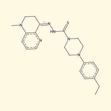 CCc1ccc(N2CCN(C(=S)N/N=C3/CCN(C)c4cccnc43)CC2)cc1